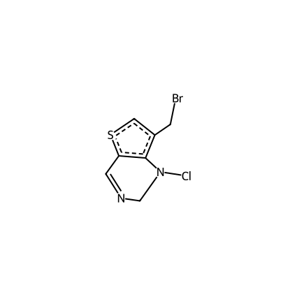 ClN1CN=Cc2scc(CBr)c21